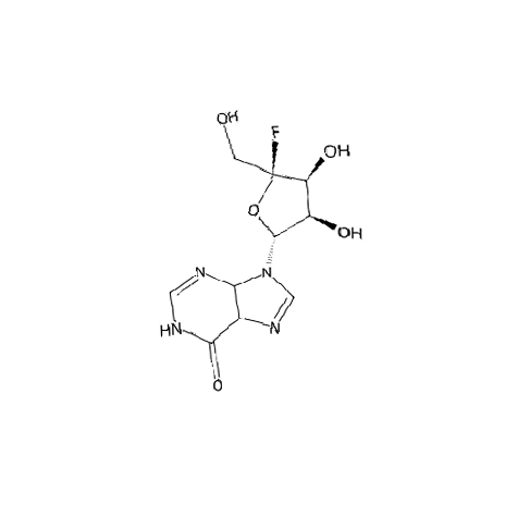 O=C1NC=NC2C1N=CN2[C@@H]1O[C@](F)(CO)[C@@H](O)[C@H]1O